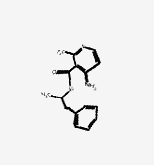 C[C@H](Cc1ccccc1)NC(=O)c1c(N)ccnc1C(F)(F)F